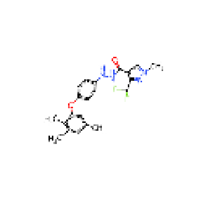 Cc1cc(C)c(C)c(Oc2ccc(NNC(=O)c3cn(C)nc3C(F)F)cc2)c1